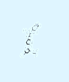 CC1(NC(=O)c2nc3ccc(Oc4ncc(Cl)cc4OCC(F)F)nc3s2)CCS(=O)(=O)CC1